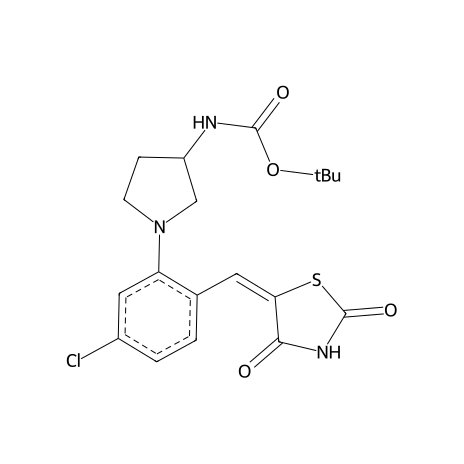 CC(C)(C)OC(=O)NC1CCN(c2cc(Cl)ccc2C=C2SC(=O)NC2=O)C1